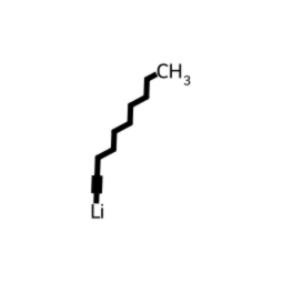 [Li][C]#CCCCCCCCC